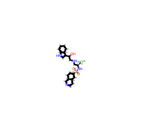 C[C@H](CNCC(O)c1c[nH]c2ccccc12)NS(=O)(=O)c1ccc2cnccc2c1.Cl